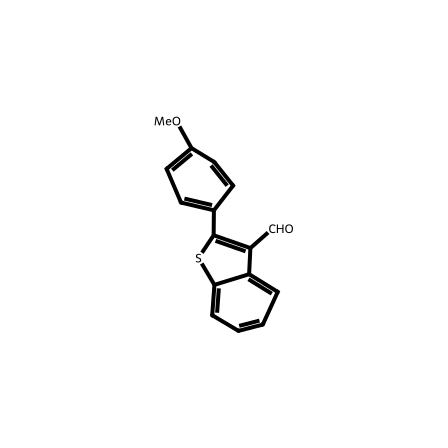 COc1ccc(-c2sc3ccccc3c2C=O)cc1